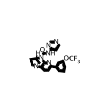 O=C(Nc1ccncn1)N1c2nc(-c3cccc(OC(F)(F)F)c3)ccc2N2CC[C@H]1C2